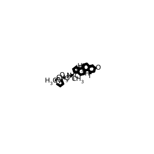 C/C(=N\OC(=O)[C@@H]1CCC[N+]1(C)C)[C@H]1CC[C@H]2[C@@H]3CCC4=CC(=O)CC(I)[C@]4(C)[C@H]3CC[C@]12C